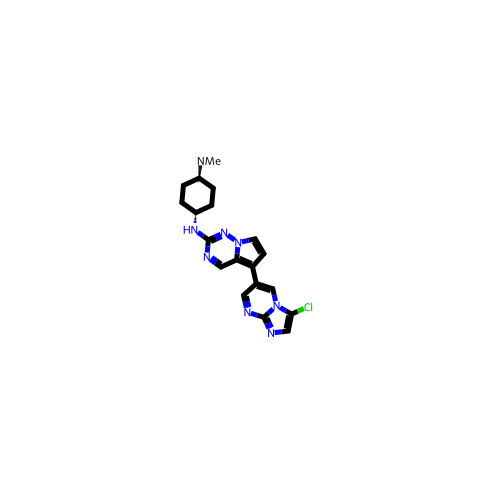 CN[C@H]1CC[C@H](Nc2ncc3c(-c4cnc5ncc(Cl)n5c4)ccn3n2)CC1